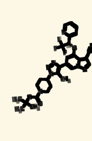 Cc1c(-c2cc(O[C@@H](c3ccccn3)C(F)(F)F)c3c(C#N)cnn3c2)nnn1C1CCN(C(=O)OC(C)(C)C)CC1